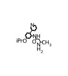 CC(N)CC(=O)Nc1cc(OC(C)C)ccc1-c1cccnc1